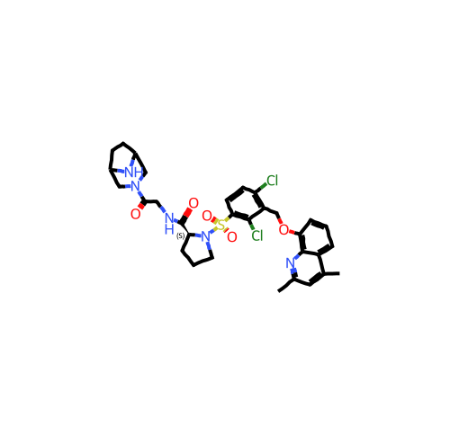 Cc1cc(C)c2cccc(OCc3c(Cl)ccc(S(=O)(=O)N4CCC[C@H]4C(=O)NCC(=O)N4CC5CCC(C4)N5)c3Cl)c2n1